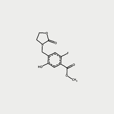 COC(=O)c1cc(O)c(CN2CCOC2=O)cc1F